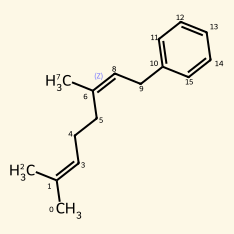 CC(C)=CCC/C(C)=C\Cc1ccccc1